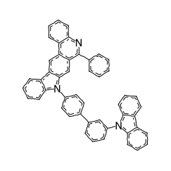 c1ccc(-c2nc3ccccc3c3cc4c5ccccc5n(-c5ccc(-c6cccc(-n7c8ccccc8c8ccccc87)c6)cc5)c4cc23)cc1